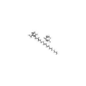 CC(N)N.CCCCCCCCCCCCCCC=CCN1CCN=C1CC